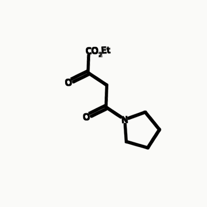 CCOC(=O)C(=O)CC(=O)N1CCCC1